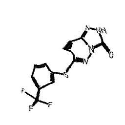 O=c1[nH]nc2ccc(Sc3cccc(C(F)(F)F)c3)nn12